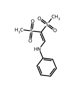 CS(=O)(=O)C(=CNc1ccccc1)S(C)(=O)=O